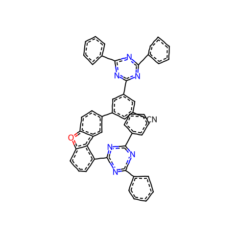 N#Cc1cc(-c2ccc3oc4cccc(-c5nc(-c6ccccc6)nc(-c6ccccc6)n5)c4c3c2)cc(-c2nc(-c3ccccc3)nc(-c3ccccc3)n2)c1